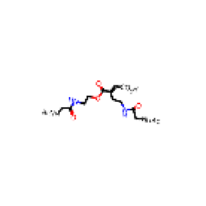 CC(=O)NCC(=O)NCCOC(=O)C(=CC(=O)O)CCNC(=O)CNC(C)=O